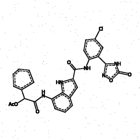 CC(=O)OC(C(=O)Nc1cccc2cc(C(=O)Nc3ccc(Cl)cc3-c3noc(=O)[nH]3)[nH]c12)c1ccccc1